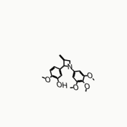 C=C1CN(c2cc(OC)c(OC)c(OC)c2)C1c1ccc(OC)c(O)c1